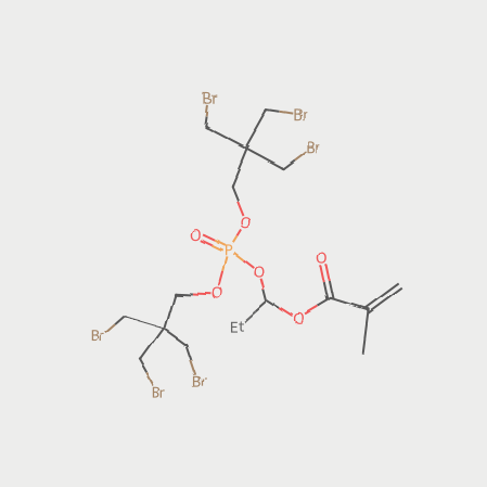 C=C(C)C(=O)OC(CC)OP(=O)(OCC(CBr)(CBr)CBr)OCC(CBr)(CBr)CBr